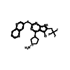 N[C@H]1CCN(c2nc(Sc3cnc4cccnc4c3)nc3[nH]c(CC(F)(F)F)c(Cl)c23)C1